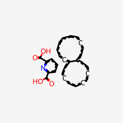 O=C(O)c1cccc(C(=O)O)n1.c1cccccc2ccccccccccc-2cccc1